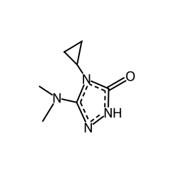 CN(C)c1n[nH]c(=O)n1C1CC1